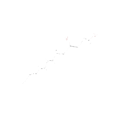 CCCCCCC(Cl)CCC(Br)CCCBr